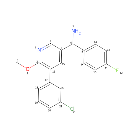 COc1ncc(C(N)c2ccc(F)cc2)cc1-c1cccc(Cl)c1